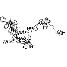 CC[C@H](C)C([C@@H](CC(=O)N1CCC[C@H]1[C@H](OC)[C@@H](C)C(=O)N[C@H](C)[C@@H](O)c1ccccc1)OC)N(C)C(=O)CNC(=O)C(C(C)C)N(C)C(=O)OCc1ccc(NC(=O)CNC(=O)C(NC(=O)CCCCCON)C(C)C)cc1